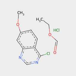 CCOC=O.COc1ccc2c(Cl)ncnc2c1.Cl